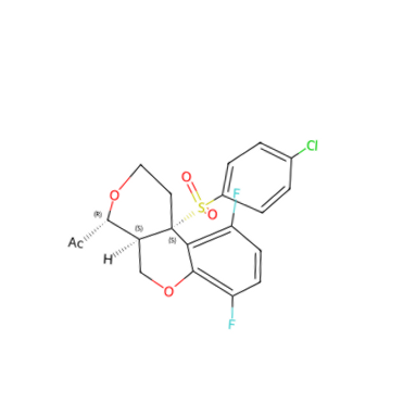 CC(=O)[C@@H]1OCC[C@@]2(S(=O)(=O)c3ccc(Cl)cc3)c3c(F)ccc(F)c3OC[C@@H]12